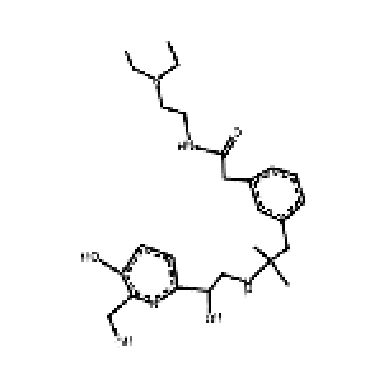 CCN(CC)CCNC(=O)Cc1cccc(CC(C)(C)NCC(O)c2ccc(O)c(CO)n2)c1